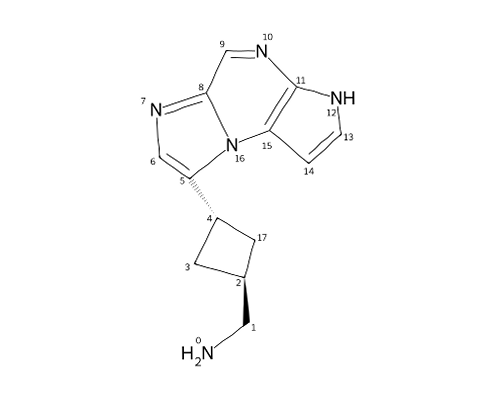 NC[C@H]1C[C@H](c2cnc3cnc4[nH]ccc4n32)C1